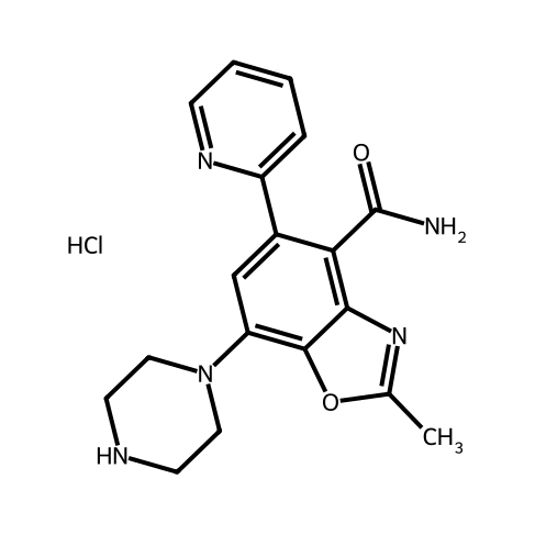 Cc1nc2c(C(N)=O)c(-c3ccccn3)cc(N3CCNCC3)c2o1.Cl